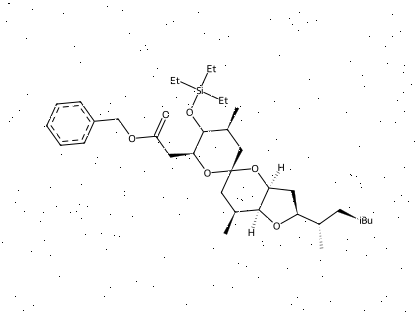 CC[C@H](C)C[C@H](C)[C@@H]1C[C@@H]2O[C@]3(C[C@H](C)C(O[Si](CC)(CC)CC)[C@H](CC(=O)OCc4ccccc4)O3)C[C@H](C)[C@@H]2O1